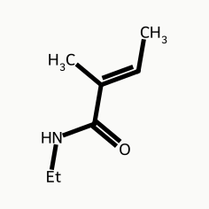 C/C=C(\C)C(=O)NCC